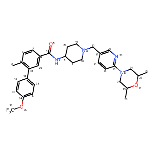 Cc1ccc(C(=O)NC2CCN(Cc3ccc(N4CC(C)OC(C)C4)nc3)CC2)cc1-c1ccc(OC(F)(F)F)cc1